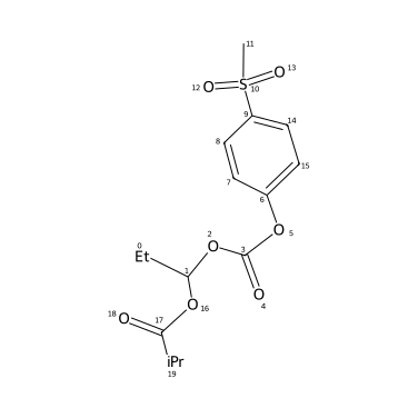 CCC(OC(=O)Oc1ccc(S(C)(=O)=O)cc1)OC(=O)C(C)C